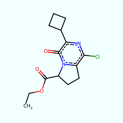 CCOC(=O)C1CCc2c(Cl)nc(C3CCC3)c(=O)n21